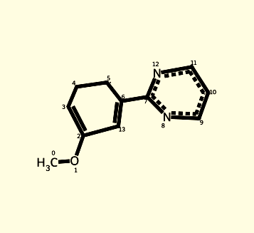 COC1=CC[CH]C(c2ncccn2)=C1